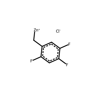 Fc1cc(F)c([CH2][Zn+])cc1F.[Cl-]